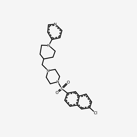 O=S(=O)(c1ccc2cc(Cl)ccc2c1)N1CCN(CC2CCN(c3ccncc3)CC2)CC1